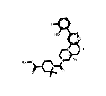 CC[C@@]12CNc3nnc(-c4cccc(F)c4O)cc3N1CCN(C(=O)N1CCN(C(=O)OC(C)(C)C)CC1(C)C)C2